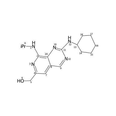 CC(C)Nc1nc(CO)cc2cnc(NC3CCCCC3)nc12